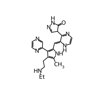 CCNCCc1c(C)[nH]c(C=C2NC=CN=C2C2C=NNC2=O)c1-c1cnccn1